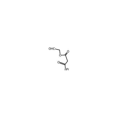 CCCC(=O)CC(=O)OCC=O